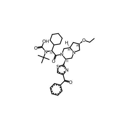 CCO[C@@H]1C[C@@H]2CN(C(=O)[C@H](C3CCCCC3)N(C(=O)O)C(C)(C)C)[C@H](c3nc(C(=O)c4ccccc4)cs3)CN2C1